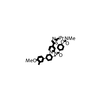 CNC(=O)O[C@H]1CC[C@H](C(=O)N(C[C@H]2CC[C@H](c3ccc(OC)c(C)c3)CC2)c2cc(-c3cnc(C(C)C)s3)ccn2)CC1